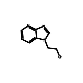 [O]CCn1cnc2ncccc21